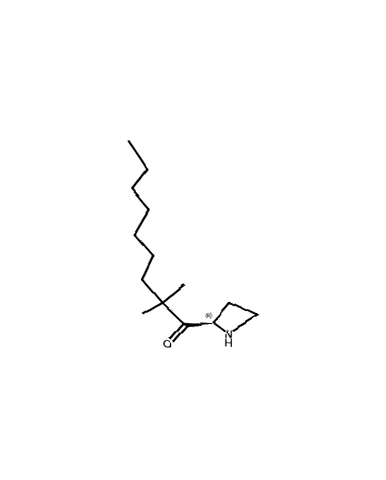 CCCCCCCC(C)(C)C(=O)[C@H]1CCN1